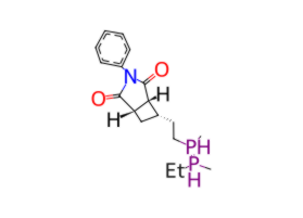 CC/[PH](C)=[PH](/C)CC[C@@H]1C[C@@H]2C(=O)N(c3ccccc3)C(=O)[C@H]12